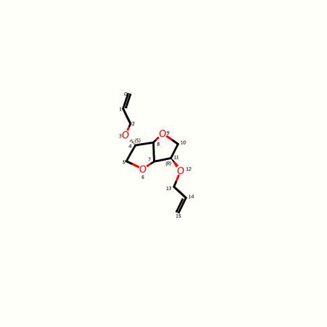 C=CCO[C@H]1COC2C1OC[C@H]2OCC=C